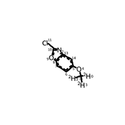 [2H]C([2H])([2H])Oc1ccc2oc(Cl)nc2c1